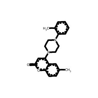 Cc1ccc2oc(=O)cc(N3CCN(c4ccccc4C)CC3)c2c1